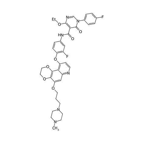 CCOc1ncn(-c2ccc(F)cc2)c(=O)c1C(=O)Nc1ccc(Oc2ccnc3cc(OCCCN4CCN(C)CC4)c4c(c23)OCCO4)c(F)c1